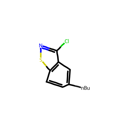 CCCCc1ccc2snc(Cl)c2c1